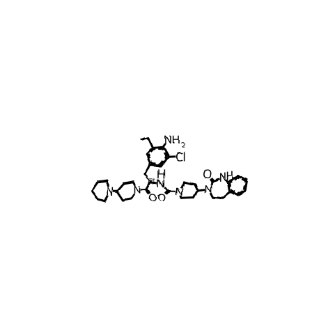 CCc1cc(C[C@@H](NC(=O)N2CCC(N3CCc4ccccc4NC3=O)CC2)C(=O)N2CCC(N3CCCCC3)CC2)cc(Cl)c1N